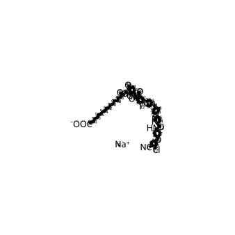 N#Cc1ccc(OC2CCC(NC(=O)c3ccc(N4CCC(CN5CCN(c6cc7c(cc6F)C(=O)N(C6CCC(=O)N(COC(=O)CCCCCCCCCCCCCCCCC(=O)[O-])C6=O)C7=O)CC5)CC4)nn3)CC2)cc1Cl.[Na+]